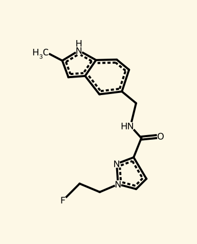 Cc1cc2cc(CNC(=O)c3ccn(CCF)n3)ccc2[nH]1